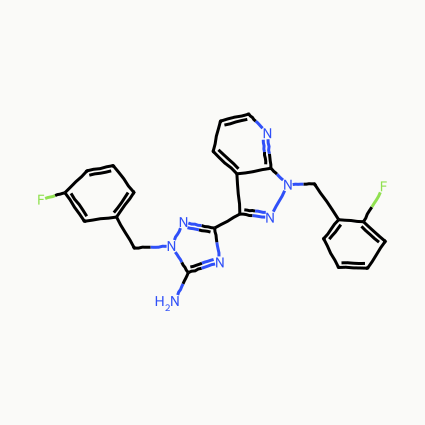 Nc1nc(-c2nn(Cc3ccccc3F)c3ncccc23)nn1Cc1cccc(F)c1